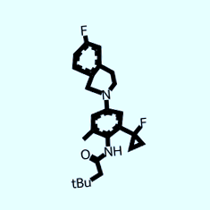 Cc1cc(N2CCc3cc(F)ccc3C2)cc(C2(F)CC2)c1NC(=O)CC(C)(C)C